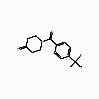 O=C1CCN(C(=O)c2ccc(C(F)(F)F)cc2)CC1